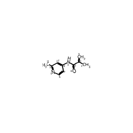 C=C(C)C(=O)Nc1ccnc(C)c1